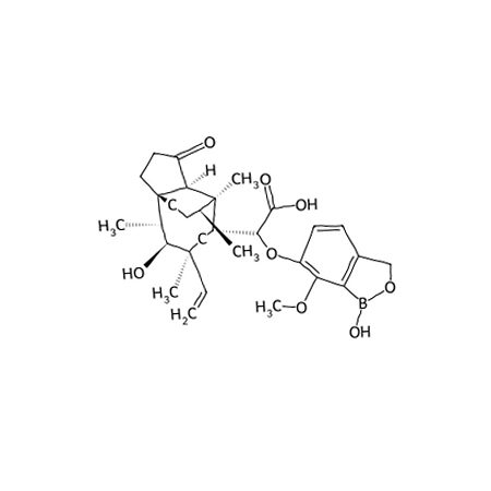 C=C[C@]1(C)C[C@@H](C(Oc2ccc3c(c2OC)B(O)OC3)C(=O)O)[C@@]2(C)[C@H](C)CC[C@]3(CCC(=O)[C@H]32)[C@@H](C)[C@@H]1O